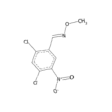 CO/N=C/c1cc([N+](=O)[O-])c(Cl)cc1Cl